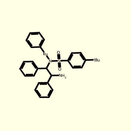 CC(C)(C)c1ccc(S(=O)(=O)[N]([Ru][c]2ccccc2)C(c2ccccc2)C(N)c2ccccc2)cc1